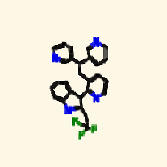 FC(F)(F)CC1=Nc2ccccc2C1c1ncccc1CC(c1cccnc1)c1cccnc1